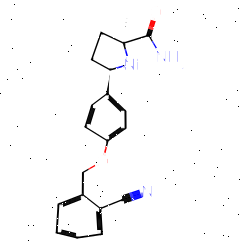 C[C@@]1(C(N)=O)CC[C@H](c2ccc(OCc3ccccc3C#N)cc2)N1